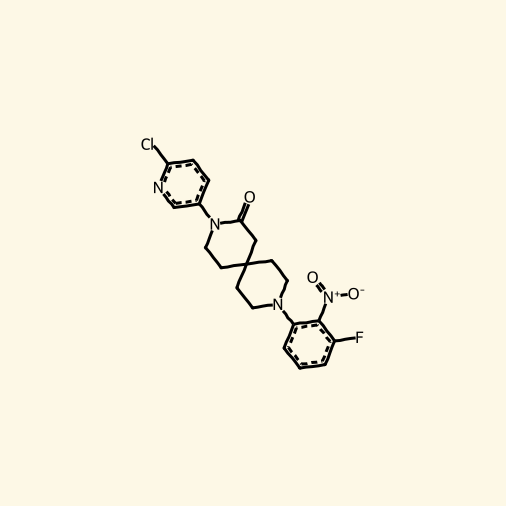 O=C1CC2(CCN(c3cccc(F)c3[N+](=O)[O-])CC2)CCN1c1ccc(Cl)nc1